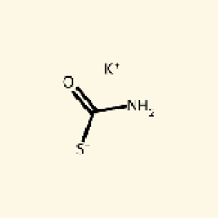 NC(=O)[S-].[K+]